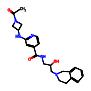 CC(=O)N1CC(Nc2cc(C(=O)NCC(O)CN3CCc4ccccc4C3)ccn2)C1